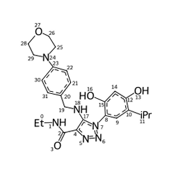 CCNC(=O)c1nnn(-c2cc(C(C)C)c(O)cc2O)c1NCc1ccc(N2CCOCC2)cc1